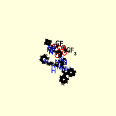 O=C(O[C@@H]1[C@H](OC(=O)C(F)(F)F)[C@@H](c2nnn(C3CCC3)n2)O[C@H]1n1cnc2c(NCC(c3ccccc3)c3ccccc3)nc(NCCN3CCCCC3)nc21)C(F)(F)F